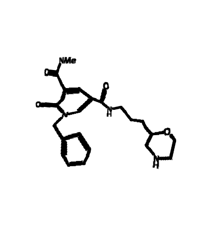 CNC(=O)c1cc(C(=O)NCCCC2CNCCO2)cn(Cc2ccccc2)c1=O